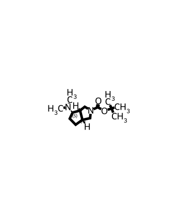 CN(C)[C@H]1CC[C@H]2CN(C(=O)OC(C)(C)C)C[C@H]21